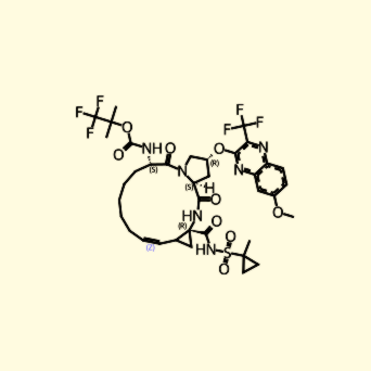 COc1ccc2nc(C(F)(F)F)c(O[C@@H]3C[C@H]4C(=O)N[C@]5(C(=O)NS(=O)(=O)C6(C)CC6)CC5/C=C\CCCCC[C@H](NC(=O)OC(C)(C)C(F)(F)F)C(=O)N4C3)nc2c1